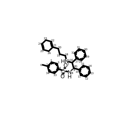 Cc1ccc(S(=O)(=O)N[C@H](c2ccccc2)C(NCCCC2=CCC=CC2)c2ccccc2)cc1